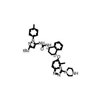 Cc1ccc(-n2nc(C(C)(C)C)cc2NC(=O)N[C@H]2CC[C@@H](Oc3ccc4nnc(N5CCNCC5)n4c3C)c3ccccc32)cc1